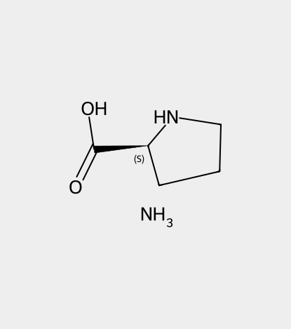 N.O=C(O)[C@@H]1CCCN1